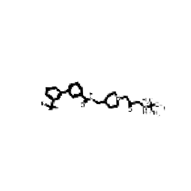 CC(C)(C)NCC(=O)CN1CCC(CNC(=O)c2cccc(-c3cccc(C(F)(F)F)c3)c2)CC1